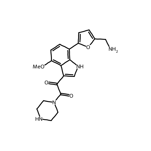 COc1ccc(-c2ccc(CN)o2)c2[nH]cc(C(=O)C(=O)N3CCNCC3)c12